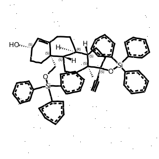 C#C[C@]1(O[Si](c2ccccc2)(c2ccccc2)c2ccccc2)CC[C@H]2[C@@H]3CCC4=C[C@@H](O)CC[C@]4(CO[Si](c4ccccc4)(c4ccccc4)c4ccccc4)[C@H]3CC[C@@]21C